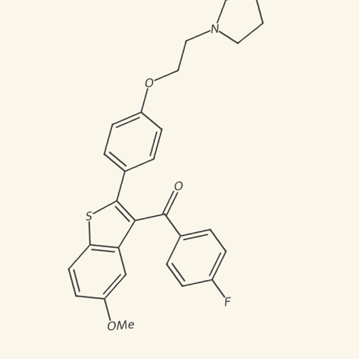 COc1ccc2sc(-c3ccc(OCCN4CCCC4)cc3)c(C(=O)c3ccc(F)cc3)c2c1